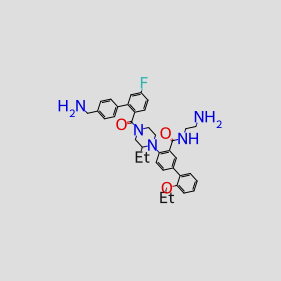 CCOc1ccccc1-c1ccc(N2CCN(C(=O)c3ccc(F)cc3-c3ccc(CN)cc3)CC2CC)c(C(=O)NCCN)c1